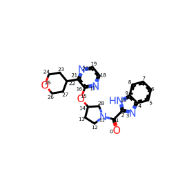 O=C(c1nc2ccccc2[nH]1)N1CCC(Oc2nccnc2C2CCOCC2)C1